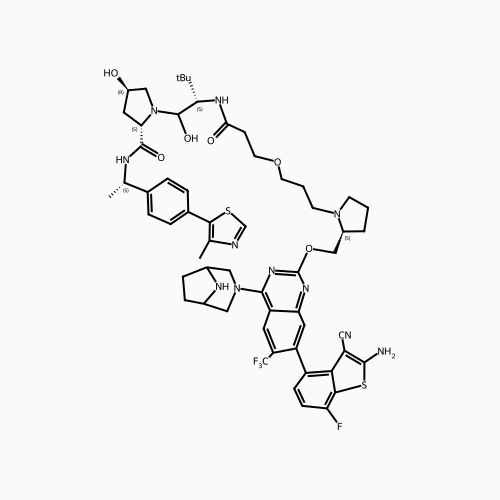 Cc1ncsc1-c1ccc([C@H](C)NC(=O)[C@@H]2C[C@@H](O)CN2C(O)[C@@H](NC(=O)CCOCCCN2CCC[C@H]2COc2nc(N3CC4CCC(C3)N4)c3cc(C(F)(F)F)c(-c4ccc(F)c5sc(N)c(C#N)c45)cc3n2)C(C)(C)C)cc1